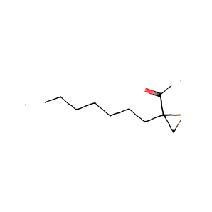 CCCCCCCCCCCCCC1(C(=O)OC)CS1